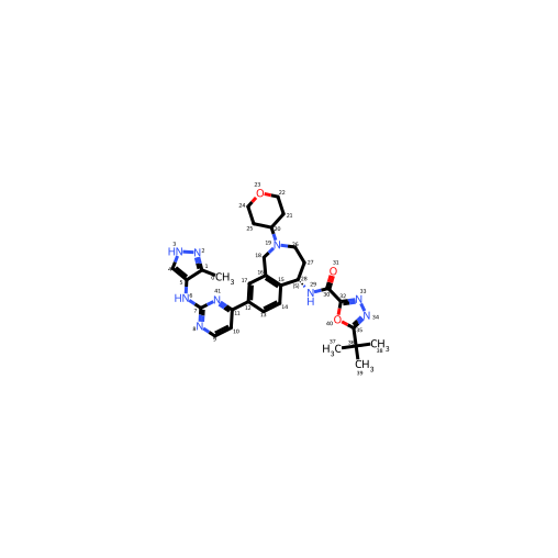 Cc1n[nH]cc1Nc1nccc(-c2ccc3c(c2)CN(C2CCOCC2)CC[C@@H]3NC(=O)c2nnc(C(C)(C)C)o2)n1